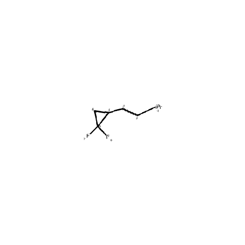 CC(C)CCC1CC1(F)F